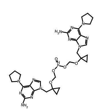 Nc1nc(N2CCCC2)c2ncn(CC3(OCO[PH](=O)OCOC4(Cn5cnc6c(N7CCCC7)nc(N)nc65)CC4)CC3)c2n1